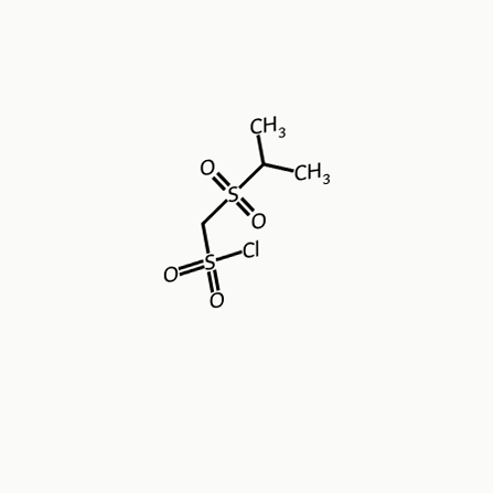 CC(C)S(=O)(=O)CS(=O)(=O)Cl